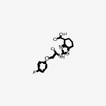 O=C(COc1ccc(F)cc1)Nc1nc2c(s1)CCCC2C(=O)O